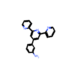 Nc1cccc(-c2cc(-c3ccccn3)nc(-c3ccccn3)c2)c1